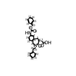 O=C(O)C[C@H]1Cc2cc(NC(=O)OCc3ccccc3)ccc2CN(CCc2ccccc2)C1=O